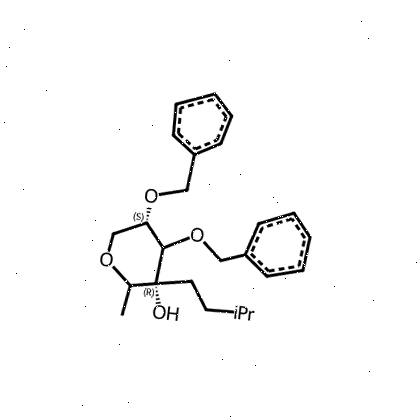 CC(C)CC[C@@]1(O)C(C)OC[C@H](OCc2ccccc2)C1OCc1ccccc1